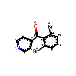 O=C(c1ccncc1)c1c(Br)cccc1Br